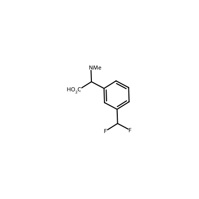 CNC(C(=O)O)c1cccc(C(F)F)c1